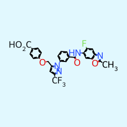 Cc1nc2cc(F)c(NC(=O)c3cccc(-n4nc(C(F)(F)F)cc4COc4ccc(C(=O)O)cc4)c3)cc2o1